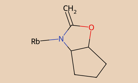 C=C1OC2CCCC2[N]1[Rb]